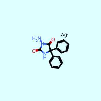 NN1C(=O)NC(c2ccccc2)(c2ccccc2)C1=O.[Ag]